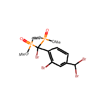 COP(=O)(OC)C(Br)(c1ccc(C(Br)Br)cc1Br)P(=O)(OC)OC